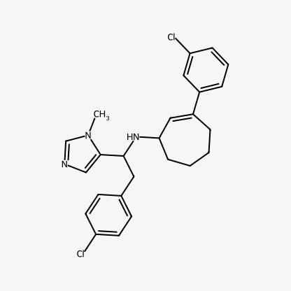 Cn1cncc1C(Cc1ccc(Cl)cc1)NC1C=C(c2cccc(Cl)c2)CCCC1